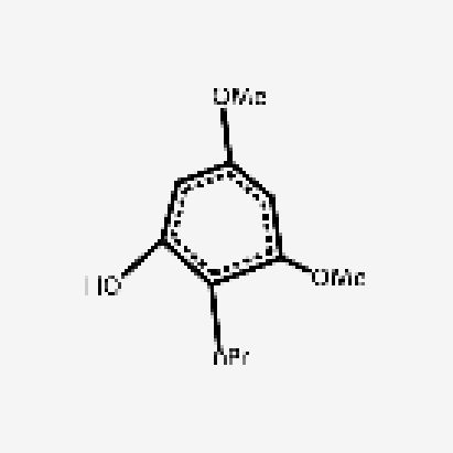 CCCc1c(O)cc(OC)cc1OC